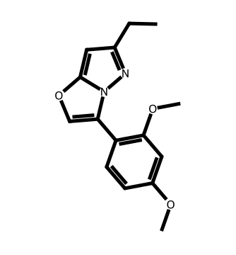 CCc1cc2occ(-c3ccc(OC)cc3OC)n2n1